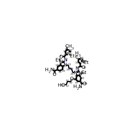 CCn1nc(C)cc1C(=O)/N=c1\n(CC)c2cc(C(N)=O)ccc2n1C/C=C/Cn1/c(=N/C(=O)c2cc(C)nn2CC)n(CC)c2cc(C(N)=O)cc(OCCCO)c21